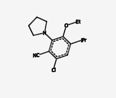 CCOc1c(C(C)C)cc(Cl)c(C#N)c1N1CCCC1